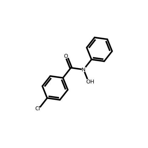 O=C(c1ccc(Cl)cc1)N(O)c1ccccc1